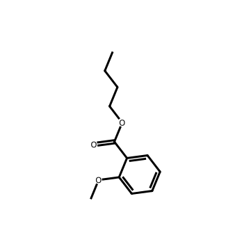 CCCCOC(=O)c1ccccc1OC